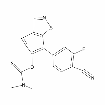 CN(C)C(=S)Oc1ccc2cnsc2c1-c1ccc(C#N)c(F)c1